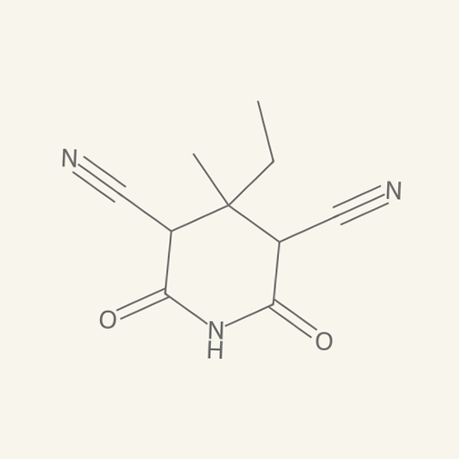 CCC1(C)C(C#N)C(=O)NC(=O)C1C#N